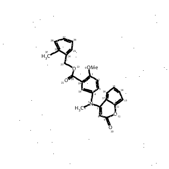 COc1ccc(N(C)c2cc(=O)oc3ccccc23)cc1C(=O)OCc1ccccc1C